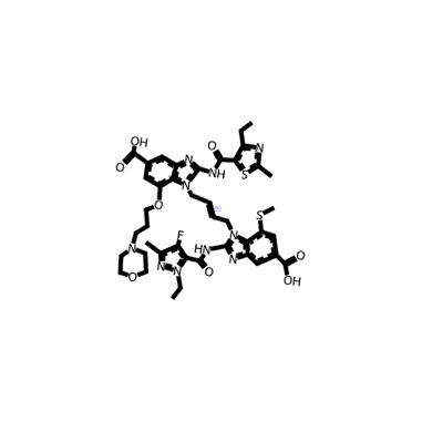 CCc1nc(C)sc1C(=O)Nc1nc2cc(C(=O)O)cc(OCCCN3CCOCC3)c2n1C/C=C/Cn1c(NC(=O)c2c(F)c(C)nn2CC)nc2cc(C(=O)O)cc(SC)c21